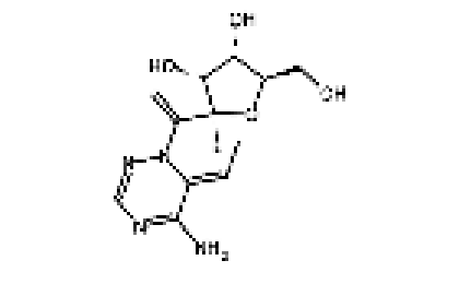 C=C(N1N=CN=C(N)/C1=C/C)[C@]1(C)O[C@H](CO)[C@@H](O)[C@H]1O